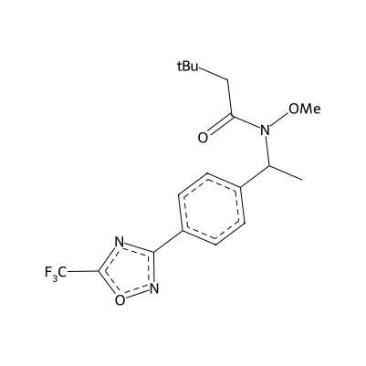 CON(C(=O)CC(C)(C)C)C(C)c1ccc(-c2noc(C(F)(F)F)n2)cc1